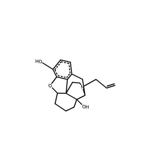 C=CCN1CCC23c4c5ccc(O)c4OC2CCCC3(O)C1C5